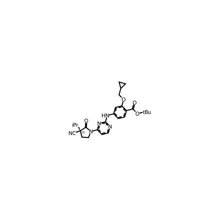 CC(C)[C@]1(C#N)CCN(c2ccnc(Nc3ccc(C(=O)OC(C)(C)C)c(OCC4CC4)c3)n2)C1=O